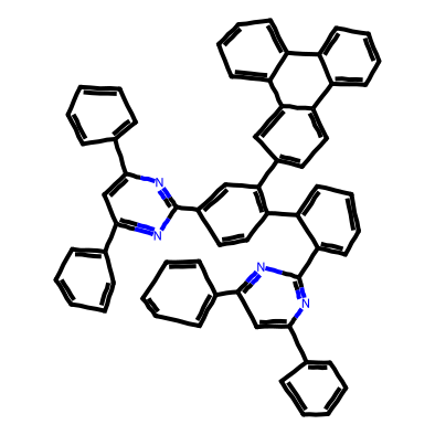 c1ccc(-c2cc(-c3ccccc3)nc(-c3ccc(-c4ccccc4-c4nc(-c5ccccc5)cc(-c5ccccc5)n4)c(-c4ccc5c6ccccc6c6ccccc6c5c4)c3)n2)cc1